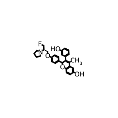 CC1=C(c2cccc(O)c2)C(c2ccc(OC[C@H](CF)N3CCCC3)cc2)Oc2ccc(O)cc21